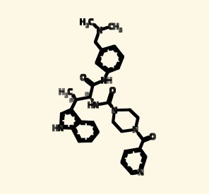 C[C@H](c1c[nH]c2ccccc12)[C@@H](NC(=O)N1CCN(C(=O)c2cccnc2)CC1)C(=O)Nc1cccc(CN(C)C)c1